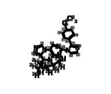 [2H]C([2H])([2H])C([2H])([2H])C1c2nncn2-c2cnc(-n3ccnc3-c3ccc(OC(F)(F)F)cc3)nc2N1C([2H])(C([2H])([2H])[2H])C([2H])([2H])[2H]